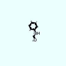 O=[C]Bc1ccccc1